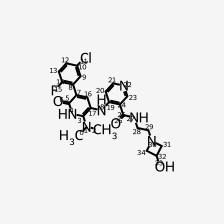 CN(C)c1[nH]c(=O)c(-c2cc(Cl)ccc2F)cc1Nc1ccncc1C(=O)NCCN1CC(O)C1